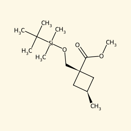 COC(=O)[C@]1(CO[Si](C)(C)C(C)(C)C)C[C@@H](C)C1